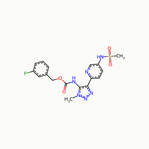 Cn1nnc(-c2ccc(NS(C)(=O)=O)cn2)c1NC(=O)OCc1cccc(F)c1